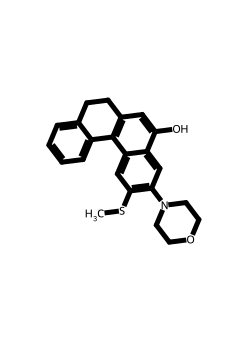 CSc1cc2c3c(cc(O)c2cc1N1CCOCC1)CCc1ccccc1-3